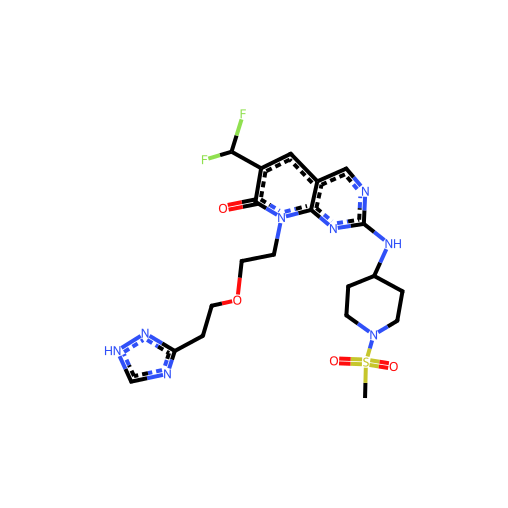 CS(=O)(=O)N1CCC(Nc2ncc3cc(C(F)F)c(=O)n(CCOCCc4nc[nH]n4)c3n2)CC1